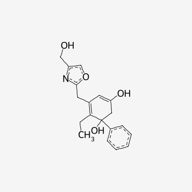 CCC1=C(Cc2nc(CO)co2)C=C(O)CC1(O)c1ccccc1